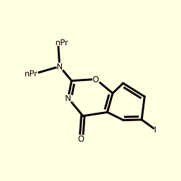 CCCN(CCC)c1nc(=O)c2cc(I)ccc2o1